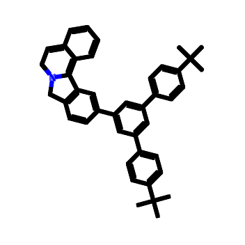 CC(C)(C)c1ccc(-c2cc(-c3ccc(C(C)(C)C)cc3)cc(-c3ccc4c(c3)C3=c5ccccc5=CCN3C4)c2)cc1